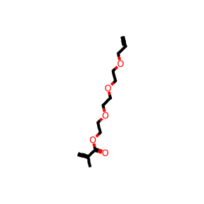 C=CCOCCOCCOCCOC(=O)C(=C)C